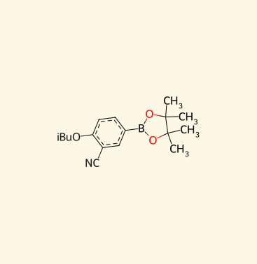 CC(C)COc1ccc(B2OC(C)(C)C(C)(C)O2)cc1C#N